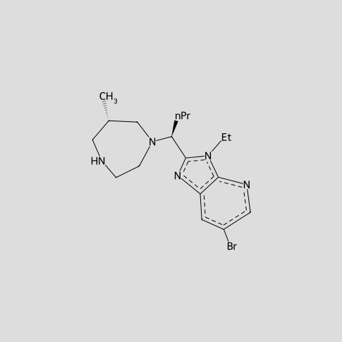 CCC[C@@H](c1nc2cc(Br)cnc2n1CC)N1CCNC[C@H](C)C1